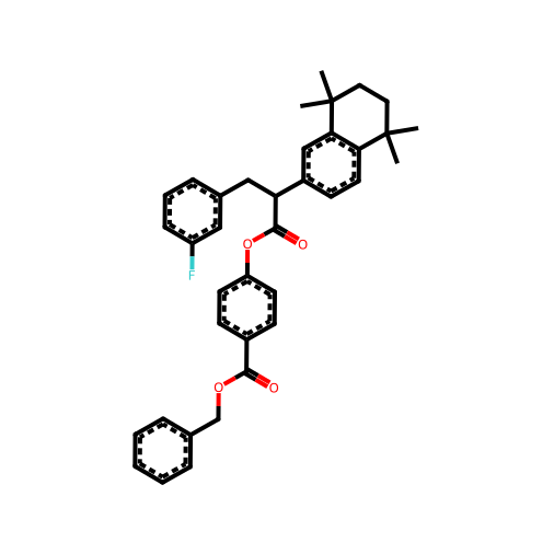 CC1(C)CCC(C)(C)c2cc(C(Cc3cccc(F)c3)C(=O)Oc3ccc(C(=O)OCc4ccccc4)cc3)ccc21